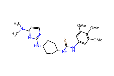 COc1cc(NC(=S)N[C@H]2CC[C@@H](Nc3nccc(N(C)C)n3)CC2)cc(OC)c1OC